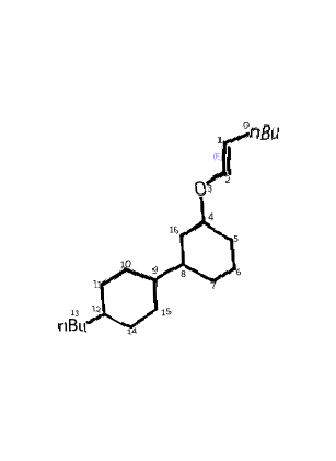 CCCC/C=C/OC1CCCC(C2CCC(CCCC)CC2)C1